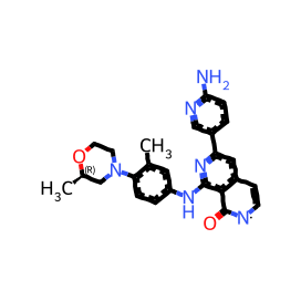 Cc1cc(Nc2nc(-c3ccc(N)nc3)cc3c2C(=O)[N]C=C3)ccc1N1CCO[C@H](C)C1